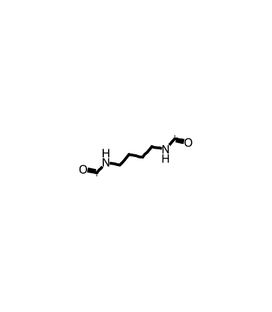 O=[C]NCCCCN[C]=O